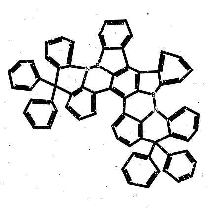 c1ccc(C2(c3ccccc3)c3ccccc3N3B4c5ccccc5-c5c4c(c4c6c5-c5ccccc5B6N5c6ccccc6C(c6ccccc6)(c6ccccc6)c6cccc-4c65)-c4cccc2c43)cc1